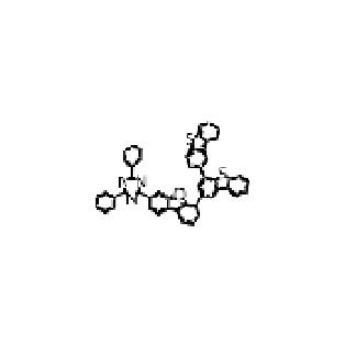 c1ccc(-c2nc(-c3ccccc3)nc(-c3ccc4c(c3)oc3c(-c5cc(-c6ccc7sc8ccccc8c7c6)c6sc7ccccc7c6c5)cccc34)n2)cc1